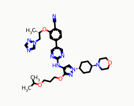 CC(C)OCCCOc1nn([C@H]2CC[C@H](N3CCOCC3)CC2)cc1Nc1ncc(-c2ccc(C#N)c(O[C@@H](C)Cn3cncn3)c2)cn1